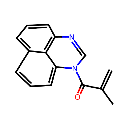 C=C(C)C(=O)N1C=Nc2cccc3cccc1c23